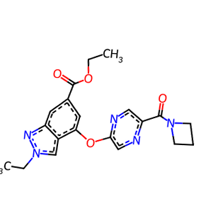 CCOC(=O)c1cc(Oc2cnc(C(=O)N3CCC3)cn2)c2cn(CC)nc2c1